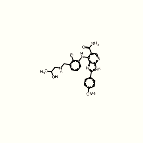 CCc1c(CNCC(C)O)cccc1Nc1c(C(N)=O)cnc2[nH]c(-c3ccc(OC)cc3)nc12